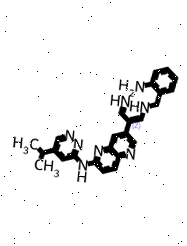 CC(C)c1cnnc(Nc2ccc3ncc(/C(C=N)=C/NCc4ccccc4N)cc3n2)c1